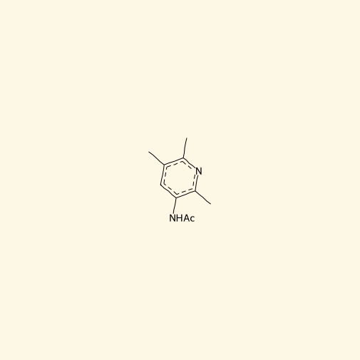 CC(=O)Nc1cc(C)c(C)nc1C